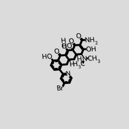 CN(C)[C@@H]1C(O)=C(C(N)=O)C(=O)[C@@]2(O)C(O)=C3C(=O)c4c(O)ccc(-c5cc(Br)ccn5)c4C[C@H]3C[C@@H]12